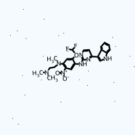 CN(C)CCN(C)c1cc(OC(F)F)c(Nc2nccc(-c3c[nH]c4ccccc34)n2)cc1[N+](=O)[O-]